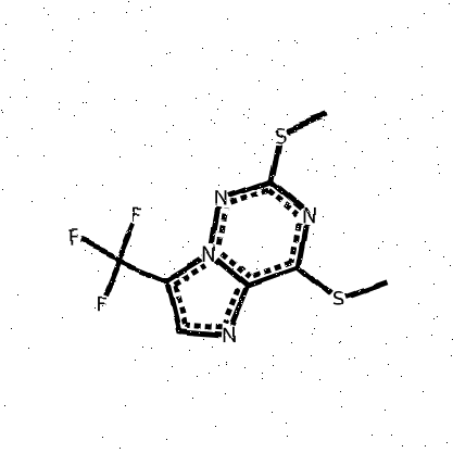 CSc1nc(SC)c2ncc(C(F)(F)F)n2n1